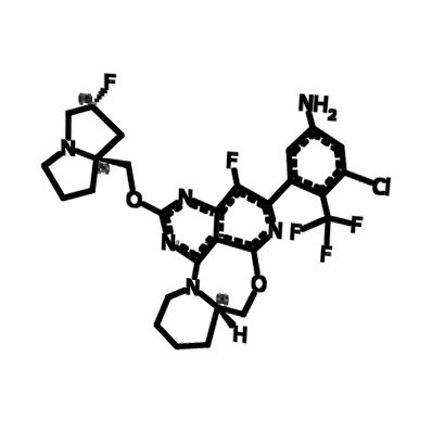 Nc1cc(Cl)c(C(F)(F)F)c(-c2nc3c4c(nc(OC[C@@]56CCCN5C[C@H](F)C6)nc4c2F)N2CCCC[C@H]2CO3)c1